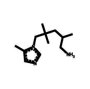 Cc1cncn1CC(C)(C)CC(C)CN